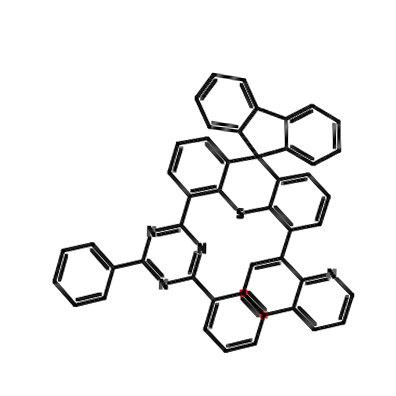 c1ccc(-c2nc(-c3ccccc3)nc(-c3cccc4c3Sc3c(-c5cccc6cccnc56)cccc3C43c4ccccc4-c4ccccc43)n2)cc1